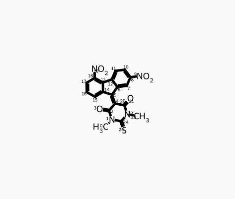 CN1C(=O)C(=C2c3cc([N+](=O)[O-])ccc3-c3c2cccc3[N+](=O)[O-])C(=O)N(C)C1=S